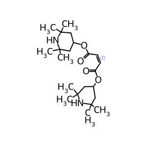 CC1(C)CC(OC(=O)/C=C\C(=O)OC2CC(C)(C)NC(C)(C)C2)CC(C)(C)N1